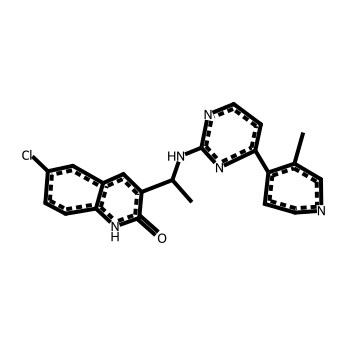 Cc1cnccc1-c1ccnc(NC(C)c2cc3cc(Cl)ccc3[nH]c2=O)n1